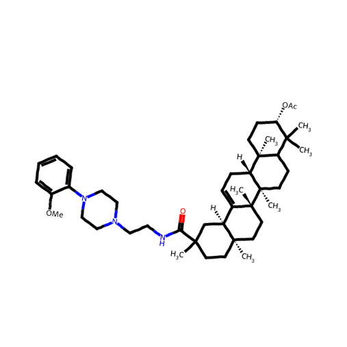 COc1ccccc1N1CCN(CCNC(=O)C2(C)CC[C@]3(C)CC[C@]4(C)C(=CC[C@@H]5[C@@]6(C)CC[C@H](OC(C)=O)C(C)(C)C6CC[C@]54C)[C@@H]3C2)CC1